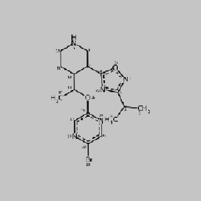 CC(C)c1noc(C2CNCCC2C(C)Oc2cnc(Br)cn2)n1